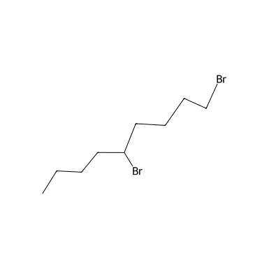 CCCCC(Br)CCCCBr